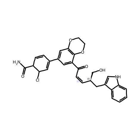 NC(=O)C1C=CC(c2cc3c(c(C(=O)/C=C\[C@@H](CO)Cc4c[nH]c5ccccc45)c2)OCCO3)=CC1Cl